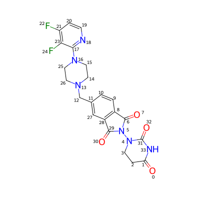 O=C1CCN(N2C(=O)c3ccc(CN4CCN(c5nccc(F)c5F)CC4)cc3C2=O)C(=O)N1